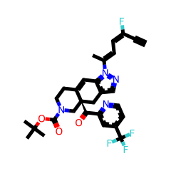 C#C/C(F)=C\C=C(/C)n1ncc2c1C=C1CCN(C(=O)OC(C)(C)C)C[C@@]1(C(=O)c1cc(C(F)(F)F)ccn1)C2